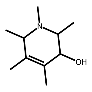 CC1=C(C)C(C)N(C)C(C)C1O